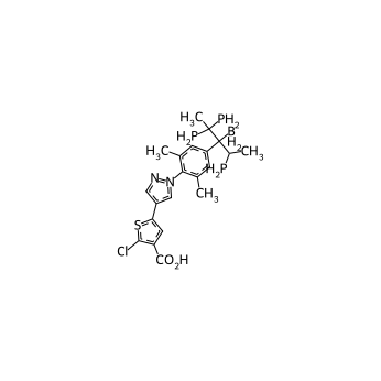 BC(c1cc(C)c(-n2cc(-c3cc(C(=O)O)c(Cl)s3)cn2)c(C)c1)(C(C)P)C(C)(P)P